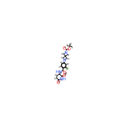 CC(C)(C)OC(=O)N1CC2(C1)CN(c1ccc(C(=O)NC3CCC(=O)NC3=O)c(F)c1)C2